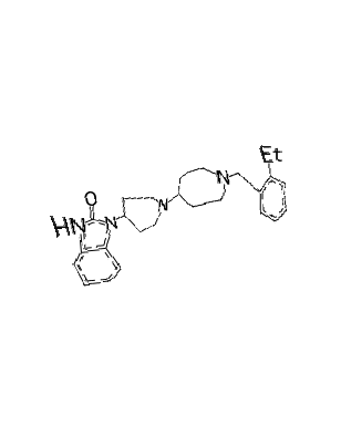 CCc1ccccc1CN1CCC(N2CCC(n3c(=O)[nH]c4ccccc43)CC2)CC1